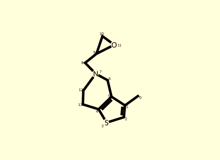 Cc1csc2c1CN(CC1CO1)CC2